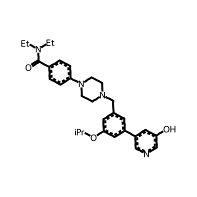 CCN(CC)C(=O)c1ccc(N2CCN(Cc3cc(OC(C)C)cc(-c4cncc(O)c4)c3)CC2)cc1